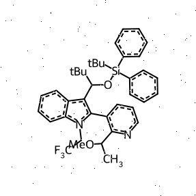 COC(C)c1ncccc1-c1c(C(O[Si](c2ccccc2)(c2ccccc2)C(C)(C)C)C(C)(C)C)c2ccccc2n1CC(F)(F)F